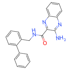 Nc1nc2ccccc2nc1C(=O)NCc1ccccc1-c1ccccc1